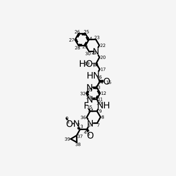 CON=C(C(=O)N1CCC(Nc2cc(C(=O)NC[C@H](O)CN3CCc4ccccc4C3)ncn2)C(F)C1)C1CC1